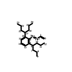 C=CN=Nc1c(C(CCC)CCC)cccc1C(CCC)CCC